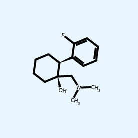 CN(C)C[C@]1(O)CCCC[C@H]1c1ccccc1F